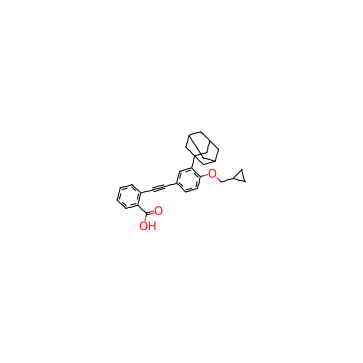 O=C(O)c1ccccc1C#Cc1ccc(OCC2CC2)c(C23CC4CC(CC(C4)C2)C3)c1